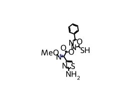 CO/N=C(\C(=O)ON1N=C(c2ccccc2)OC1S)c1csc(N)n1